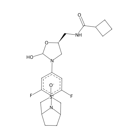 O=C(NC[C@H]1CN(c2cc(F)c(N3C4CCC3C[S+]([O-])C4)c(F)c2)C(O)O1)C1CCC1